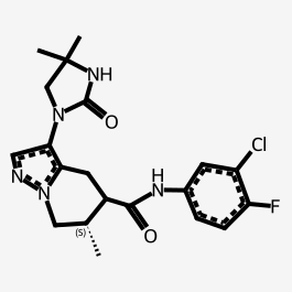 C[C@@H]1Cn2ncc(N3CC(C)(C)NC3=O)c2CC1C(=O)Nc1ccc(F)c(Cl)c1